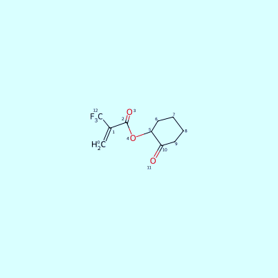 C=C(C(=O)OC1CCCCC1=O)C(F)(F)F